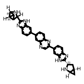 c1cc2nc(-c3ccc4nc([C@@H]5C[C@H]6C[C@H]6N5)[nH]c4c3)cnc2cc1-c1ccc2nc([C@H]3N[C@@H]4C5C3[C@@H]54)[nH]c2c1